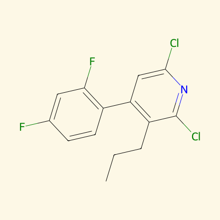 CCCc1c(-c2ccc(F)cc2F)cc(Cl)nc1Cl